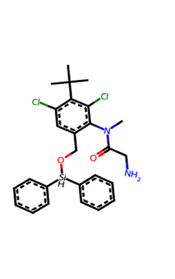 CN(C(=O)CN)c1c(CO[SiH](c2ccccc2)c2ccccc2)cc(Cl)c(C(C)(C)C)c1Cl